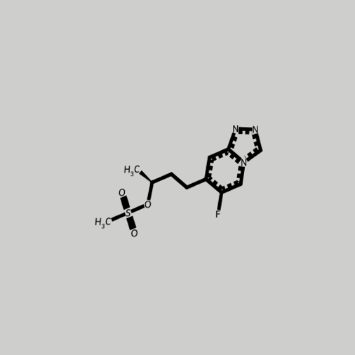 C[C@@H](CCc1cc2nncn2cc1F)OS(C)(=O)=O